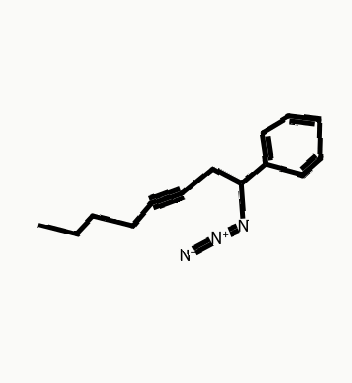 CCCCC#CCC(N=[N+]=[N-])c1ccccc1